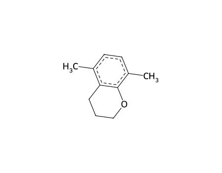 Cc1ccc(C)c2c1CCCO2